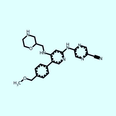 COCc1ccc(-c2cnc(Nc3cnc(C#N)cn3)cc2NCC2CNCCO2)cc1